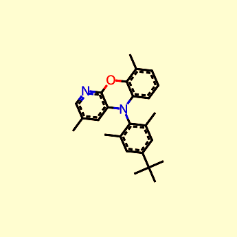 Cc1cnc2c(c1)N(c1c(C)cc(C(C)(C)C)cc1C)c1cccc(C)c1O2